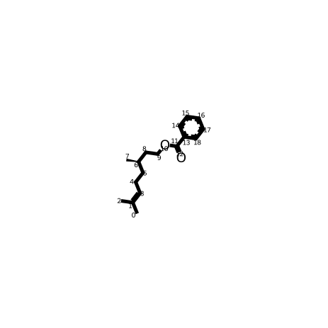 CC(C)=CCC[C@@H](C)CCOC(=O)c1ccccc1